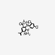 C=C(C)c1cc(C(=O)OC)c(Nc2ccc(Cl)cc2Cl)c(F)c1N